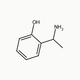 CC(N)c1ccccc1O